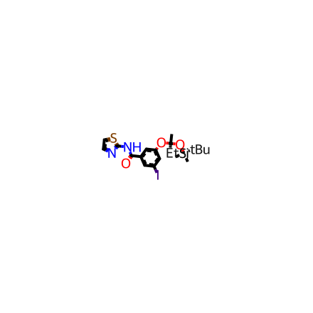 CCC(C)(Oc1cc(I)cc(C(=O)Nc2nccs2)c1)O[Si](C)(C)C(C)(C)C